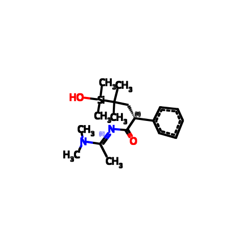 C/C(=N\C(=O)[C@H](CC(C)(C)[Si](C)(C)O)c1ccccc1)N(C)C